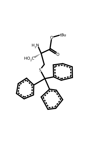 CC(C)(C)OC(=O)[C@](N)(CSC(c1ccccc1)(c1ccccc1)c1ccccc1)C(=O)O